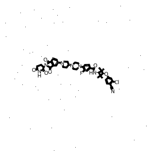 CC1(C)[C@H](NC(=O)c2ccc(N3CCN(C4CCN(c5ccc6c(c5)C(=O)N(C5CCC(=O)NC5=O)C6=O)CC4)CC3)c(F)c2)C(C)(C)[C@H]1Oc1ccc(C#N)c(Cl)c1